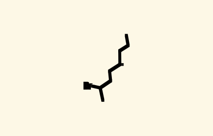 CCC[CH]CCC(C)Br